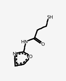 O=C(CCS)Nc1ncco1